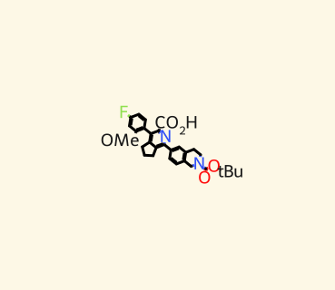 COc1cc(F)ccc1-c1c(C(=O)O)nc(-c2ccc3c(c2)CCN(C(=O)OC(C)(C)C)C3)c2c1CCC2